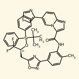 Cc1ccc(-c2noc(C[C@H](O[Si](c3ccccc3)(c3ccccc3)C(C)(C)C)C(F)F)n2)cc1NC(=O)c1cnc2ccc(-c3cscn3)cn12